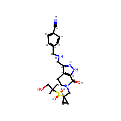 CC(C)(CO)S(=O)(=O)C1(CN2CCc3c(CNCc4ccc(C#N)cc4)n[nH]c3C2=O)CC1